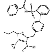 CCCn1nc(Cc2ccc(-c3ccccc3S(=O)(=O)NC(=O)c3ccccc3)cc2)c(C(=O)O)c1C1CC1